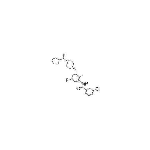 C=C(C1CCCC1)N1CCN(Cc2cc(F)cc(NC(=O)c3cccc(Cl)c3)c2C)CC1